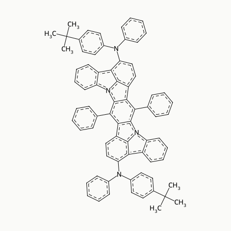 CC(C)(C)c1ccc(N(c2ccccc2)c2ccc3c4c(-c5ccccc5)c5c(c(-c6ccccc6)c4n4c6ccccc6c2c34)c2ccc(N(c3ccccc3)c3ccc(C(C)(C)C)cc3)c3c4ccccc4n5c23)cc1